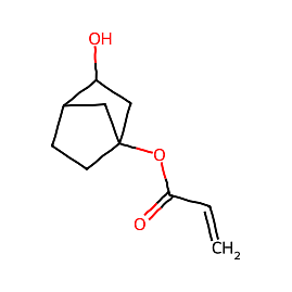 C=CC(=O)OC12CCC(C1)C(O)C2